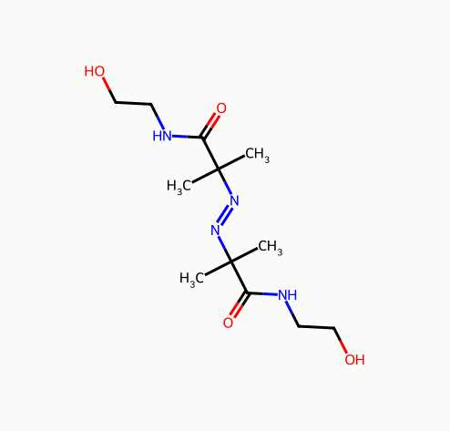 CC(C)(N=NC(C)(C)C(=O)NCCO)C(=O)NCCO